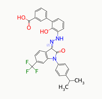 CC(C)c1ccc(N2C(=O)/C(=N\Nc3cccc(-c4cccc(C(=O)O)c4)c3O)c3ccc(C(F)(F)F)cc32)cc1